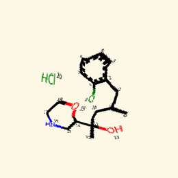 CC(Cc1ccccc1Cl)CC(C)(O)C1CNCCO1.Cl